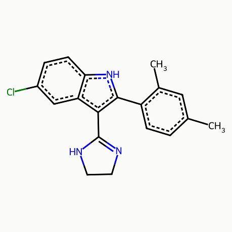 Cc1ccc(-c2[nH]c3ccc(Cl)cc3c2C2=NCCN2)c(C)c1